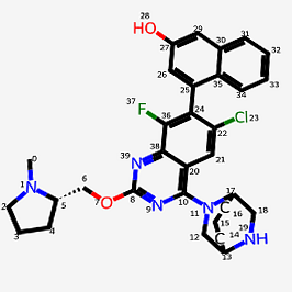 CN1CCC[C@H]1COc1nc(N2CC3CCCC2CN3)c2cc(Cl)c(-c3cc(O)cc4ccccc34)c(F)c2n1